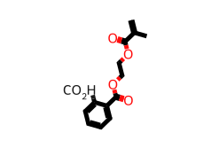 C=C(C)C(=O)OCCOC(=O)c1ccccc1C(=O)O